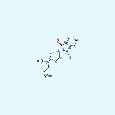 COCCN(C(=O)O)[C@H]1CC[C@H](N2C(=O)c3ccccc3C2=O)CC1